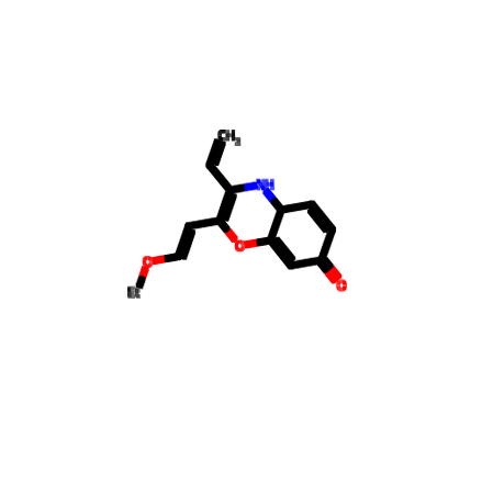 C=CC1=C(/C=C/OCC)OC2=CC(=O)C=CC2N1